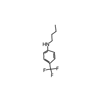 CCCCNc1ccc(C(F)(F)F)cc1